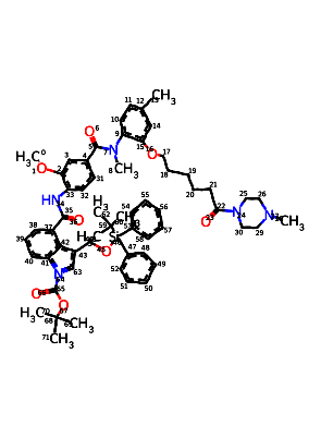 COc1cc(C(=O)N(C)c2ccc(C)cc2OCCCCCC(=O)N2CCN(C)CC2)ccc1NC(=O)c1cccc2c1c(CO[Si](c1ccccc1)(c1ccccc1)C(C)(C)C)cn2C(=O)OC(C)(C)C